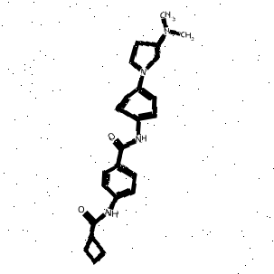 CN(C)C1CCN(c2ccc(NC(=O)c3ccc(NC(=O)C4CCC4)cc3)cc2)C1